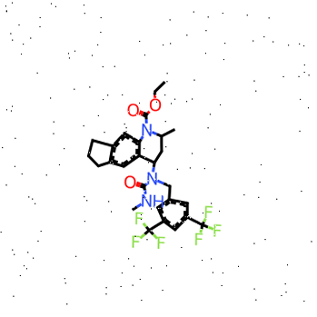 CCOC(=O)N1c2cc3c(cc2C(N(Cc2cc(C(F)(F)F)cc(C(F)(F)F)c2)C(=O)NC)CC1C)CCC3